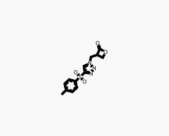 Cc1ccc(S(=O)(=O)c2cn(CC3COC3=O)nn2)cc1